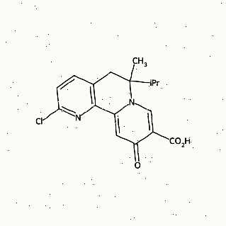 CC(C)C1(C)Cc2ccc(Cl)nc2-c2cc(=O)c(C(=O)O)cn21